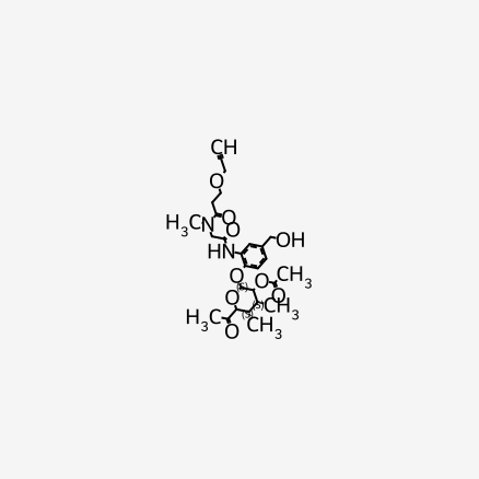 C#CCOCCC(=O)N(C)CC(=O)Nc1cc(CO)ccc1O[C@@H]1OC(C(C)=O)[C@@H](C)[C@H](C)C1OC(C)=O